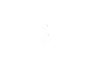 Cc1cc(-c2nc3c4ccccc4ccc3n2C)cc(C)c1N(C)C